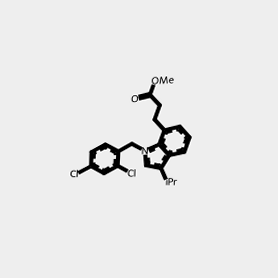 COC(=O)CCc1cccc2c(C(C)C)cn(Cc3ccc(Cl)cc3Cl)c12